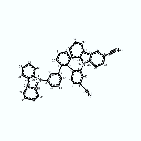 N#Cc1ccc(-c2ccccc2-c2cccc(-n3c4ccccc4c4ccccc43)c2)c(-n2c3ccccc3c3cc(C#N)ccc32)c1